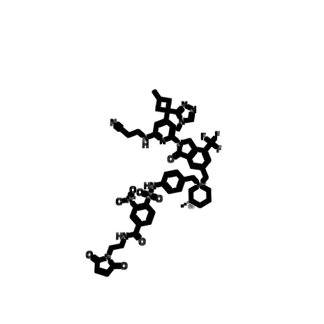 CC1CC(c2cc(NCCC#N)nc(N3Cc4c(cc(C[N+]5(Cc6ccc(NS(=O)(=O)c7ccc(C(=O)NCCN8C(=O)C=CC8=O)cc7[N+](=O)[O-])cc6)CCC[C@H](C)C5)cc4C(F)(F)F)C3=O)c2)(c2nncn2C)C1